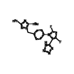 CCCCc1nc(CCC)nn1Cc1ccc(-n2c(F)cc(F)c2-c2nnn[nH]2)cc1